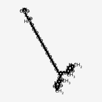 C=C1C[C@H]2C=Nc3cc(OCc4cc(C=COCCOCCOCCOCCOCCOCCOCCOCCOCCOCCOCCOCCNC(=O)CCCCCN5C(=O)C=CC5=O)cc(COc5cc6c(cc5OC)C(=O)N5CC(=C)C[C@H]5C=N6)c4)c(C)cc3C(=O)N2C1